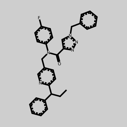 CCC(c1ccccc1)c1ccc(CN(C(=O)c2cn(Cc3ccccc3)nn2)c2ccc(F)cc2)cn1